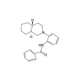 O=C(Nc1ccccc1N1CC[C@H]2CCCC[C@@H]2C1)c1ccccc1